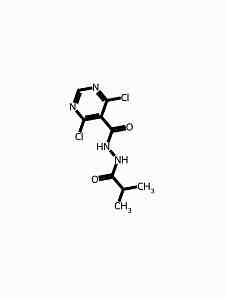 CC(C)C(=O)NNC(=O)c1c(Cl)ncnc1Cl